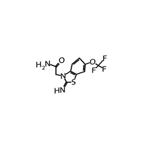 N=c1sc2cc(OC(F)(F)F)ccc2n1CC(N)=O